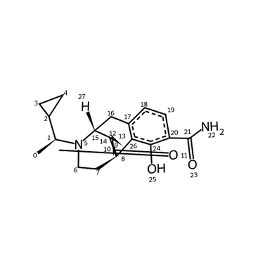 C[C@@H](C1CC1)N1CC[C@]23CC(=O)CCC2[C@H]1Cc1ccc(C(N)=O)c(O)c13